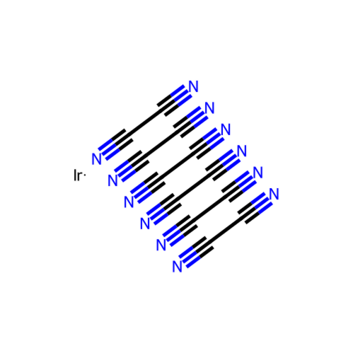 N#CC#N.N#CC#N.N#CC#N.N#CC#N.N#CC#N.N#CC#N.[Ir]